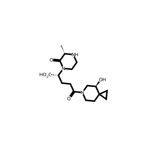 C[C@@H]1NCCN([C@H](CCC(=O)N2CCC3(CC3)[C@H](O)C2)C(=O)O)C1=O